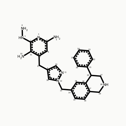 NNc1nc(N)cc(Cc2cnn(Cc3ccc4c(c3)C(c3ccccc3)CNC4)c2)c1N